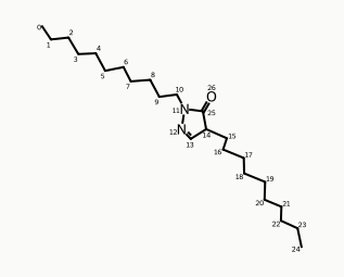 CCCCCCCCCCCN1N=CC(CCCCCCCCCC)C1=O